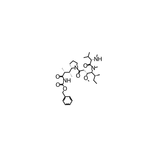 CC[C@H](C)[C@@H]([C@@H](CC(=O)N1CCC[C@H]1[C@H](C)[C@@H](C)C(=O)NC(=O)OCc1ccccc1)OC)N(C)C(=O)[C@@H](NC)C(C)C